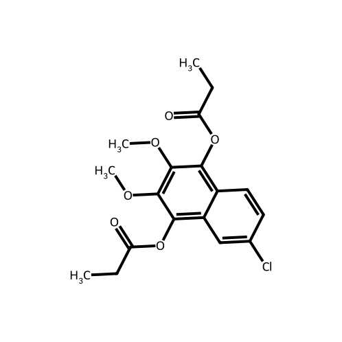 CCC(=O)Oc1c(OC)c(OC)c(OC(=O)CC)c2cc(Cl)ccc12